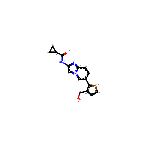 O=C(Nc1cn2cc(-c3sccc3CO)ccc2n1)C1CC1